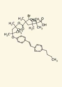 CCCCc1ccc(/C=C/c2ccc(OC(C)(C)CC(C)(C)OC(=O)C(C)(CC(C)(C)C(C)(C)C(=O)O)C(C)Br)cc2)cc1